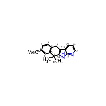 COc1ccc2c(c1)C(C)(C)c1[nH]c3ncccc3c1C2